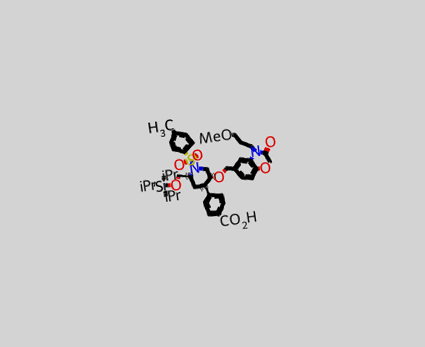 COCCCN1C(=O)COc2ccc(CO[C@H]3CN(S(=O)(=O)c4ccc(C)cc4)[C@H](CO[Si](C(C)C)(C(C)C)C(C)C)C[C@@H]3c3ccc(C(=O)O)cc3)cc21